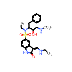 CC(C)CN(C(Cc1ccccc1)C(O)CNC(=O)O)S(=O)(=O)c1ccc2c(c1)C(=CNCC(F)(F)F)C(=O)N2